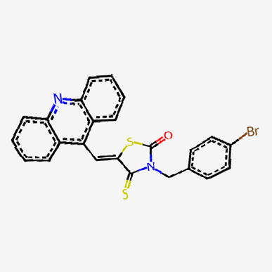 O=C1SC(=Cc2c3ccccc3nc3ccccc23)C(=S)N1Cc1ccc(Br)cc1